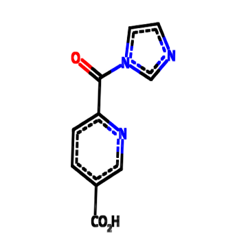 O=C(O)c1ccc(C(=O)n2ccnc2)nc1